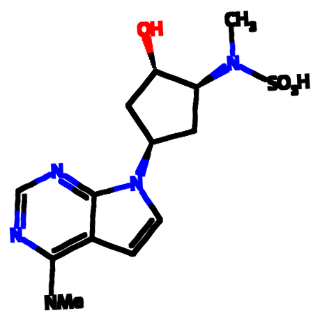 CNc1ncnc2c1ccn2[C@H]1C[C@H](O)[C@@H](N(C)S(=O)(=O)O)C1